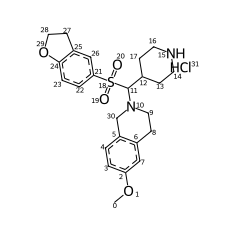 COc1ccc2c(c1)CCN(C(C1CCNCC1)S(=O)(=O)c1ccc3c(c1)CCO3)C2.Cl